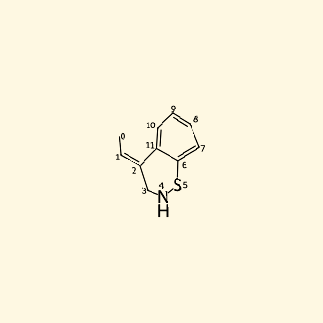 C/C=C1/CNSc2ccccc21